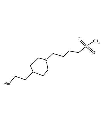 CC(C)(C)CCC1CCN(CCCCS(C)(=O)=O)CC1